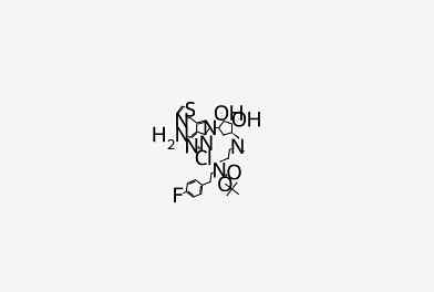 CN(CCCN(CCc1ccc(F)cc1)C(=O)OC(C)(C)C)C[C@H]1C[C@@H](n2cc(-c3nccs3)c3c(N)nc(Cl)nc32)[C@H](O)[C@@H]1O